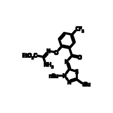 CCCCn1nc(C(C)(C)C)s/c1=N\C(=O)c1cc(C(F)(F)F)ccc1ON=C(N)C(=O)OCC